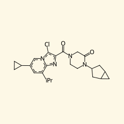 CC(C)c1cc(C2CC2)cn2c(Cl)c(C(=O)N3CCN(C4CC5CC5C4)C(=O)C3)nc12